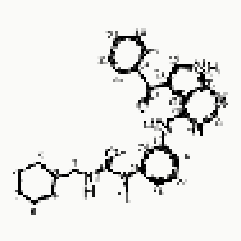 O=C(NCC1CCCCC1)Nc1cccc(Nc2ncnc3[nH]cc(C(=O)c4ccccc4)c23)c1